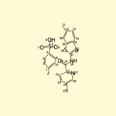 Cc1ccc(S(=O)(=O)O)cc1.Cc1ccc2nc(NC(=O)c3ccc(I)cn3)sc2c1